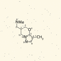 CNCC1COc2c(C)cnn2C1